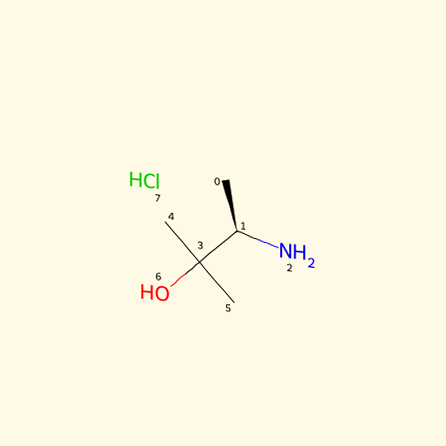 C[C@@H](N)C(C)(C)O.Cl